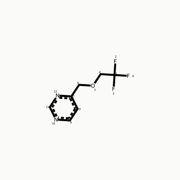 FC(F)(F)COCc1ccncn1